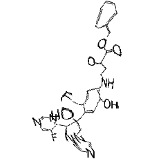 C[C@@H](c1ncncc1F)C(O)(Cn1cncn1)c1cc(O)c(NCCC(=O)C(=O)OCc2ccccc2)cc1F